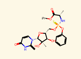 C=C1NC(=O)C=CN1[C@@H]1O[C@H](CO[P@](=S)(N[C@@H](C)C(=O)OC(C)C)Oc2ccccc2)[C@@H](O)[C@@]1(C)O